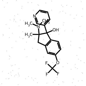 CN(C)C1(C)Cc2cc(OC(F)(F)F)ccc2C1(O)c1cccnc1